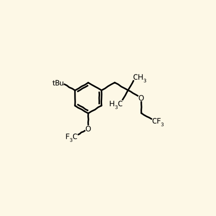 CC(C)(Cc1cc(OC(F)(F)F)cc(C(C)(C)C)c1)OCC(F)(F)F